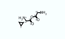 C1CC1.NCC(=O)OC(=O)CN